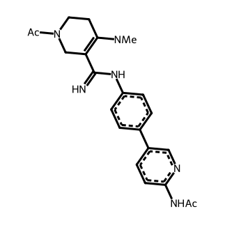 CNC1=C(C(=N)Nc2ccc(-c3ccc(NC(C)=O)nc3)cc2)CN(C(C)=O)CC1